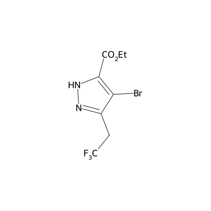 CCOC(=O)c1[nH]nc(CC(F)(F)F)c1Br